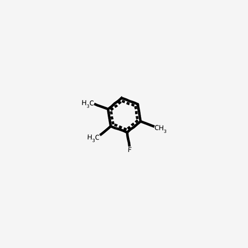 Cc1[c]cc(C)c(F)c1C